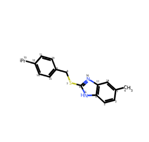 Cc1ccc2[nH]c(SCc3ccc(C(C)C)cc3)nc2c1